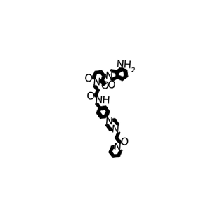 Nc1cccc2c1CN(C1CCC(=O)N(CCC(=O)NCc3ccc(N4CCN(CCC(=O)N5CCCCC5)CC4)cc3)C1=O)C2=O